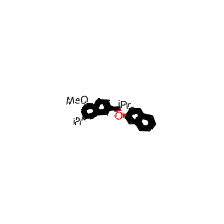 COc1cc(C(C)C)cc2cc(COc3cc4ccccc4cc3C(C)C)ccc12